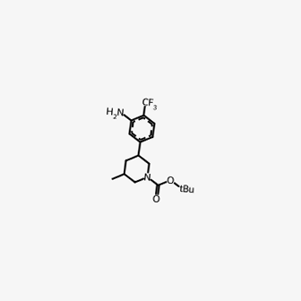 CC1CC(c2ccc(C(F)(F)F)c(N)c2)CN(C(=O)OC(C)(C)C)C1